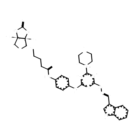 O=C(CCCC[C@@H]1SC[C@@H]2NC(=O)N[C@@H]21)Nc1ccc(Nc2nc(N/N=C/c3c[nH]c4ccccc34)nc(N3CCOCC3)n2)cc1